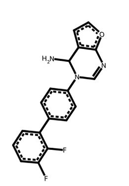 NC1c2ccoc2N=CN1c1ccc(-c2cccc(F)c2F)cc1